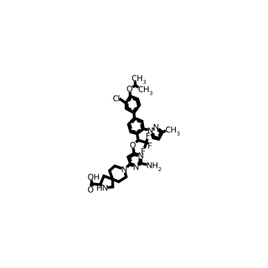 Cc1ccn(-c2cc(-c3ccc(OC(C)C)c(Cl)c3)ccc2C(Oc2cc(N3CCC4(CC3)CNC(C(=O)O)C4)nc(N)n2)C(F)(F)F)n1